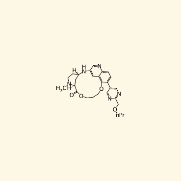 CCCOCc1ncc(-c2ccc3ncc4cc3c2OCCCOC(=O)[C@@H]2C[C@H](CCN2C)N4)cn1